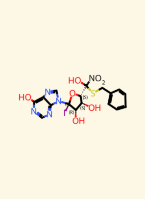 O=[N+]([O-])C(O)(SCc1ccccc1)[C@H]1O[C@@](I)(n2cnc3c(O)ncnc32)[C@H](O)[C@@H]1O